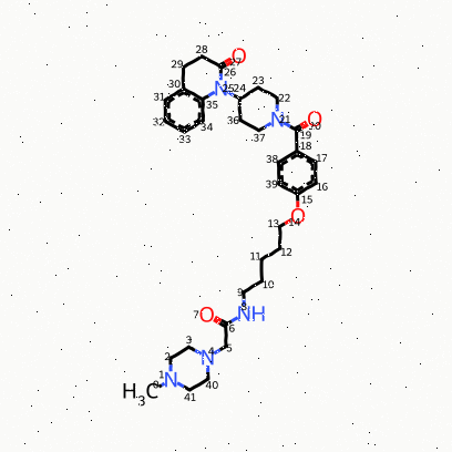 CN1CCN(CC(=O)NCCCCCOc2ccc(C(=O)N3CCC(N4C(=O)CCc5ccccc54)CC3)cc2)CC1